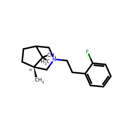 CC1(C)C2CC[C@@]1(C)CN(CCc1ccccc1F)C2